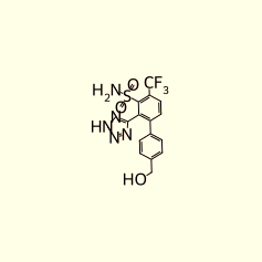 NS(=O)(=O)c1c(C(F)(F)F)ccc(-c2ccc(CO)cc2)c1-c1nn[nH]n1